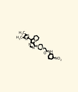 Cc1nc(-c2c3n(c4c(N5CCN(CC(=O)Nc6cccc([N+](=O)[O-])c6)CC5)ncnc24)CCCC3)sc1C